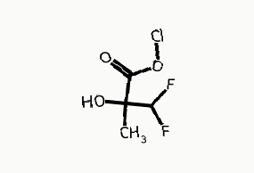 CC(O)(C(=O)OCl)C(F)F